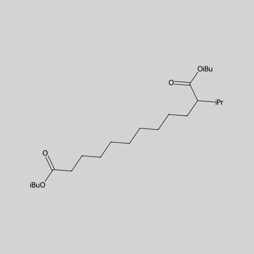 CC(C)COC(=O)CCCCCCCCCC(C(=O)OCC(C)C)C(C)C